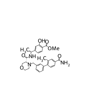 COC(=O)c1ccc([C@H](C)NC(=O)[C@H]2COCCN2Cc2cccc(-c3ccc(C(N)=O)cc3C)c2)cc1O